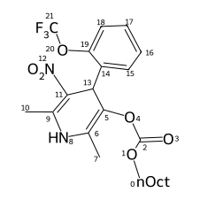 CCCCCCCCOC(=O)OC1=C(C)NC(C)=C([N+](=O)[O-])C1c1ccccc1OC(F)(F)F